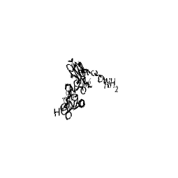 CC[C@@H](C)[C@@H](C(CCN1CCC[C@H]1[C@H](OC)[C@@H](C)C(=O)N[C@@H](Cc1ccccc1)C(=O)O)OC)N(C)C(=O)[C@@H](NC(=O)[C@H](C(C)C)N(C)C(=O)CCOCCOCCN)C(C)C